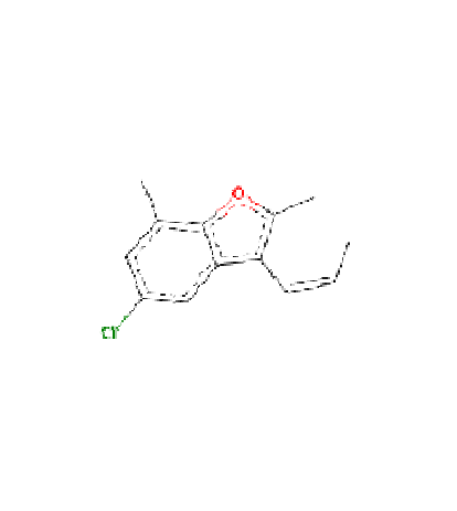 C/C=C\c1c(C)oc2c(C)cc(Cl)cc12